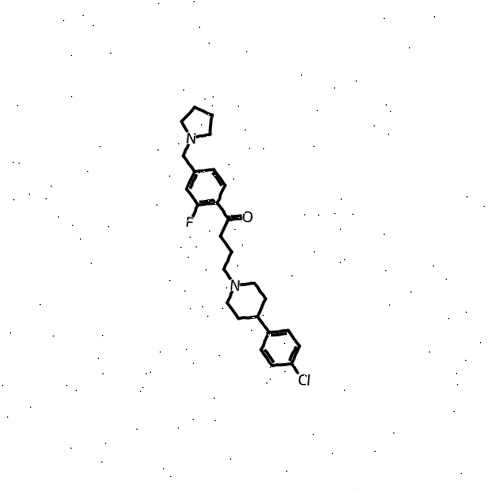 O=C(CCCN1CCC(c2ccc(Cl)cc2)CC1)c1ccc(CN2CCCC2)cc1F